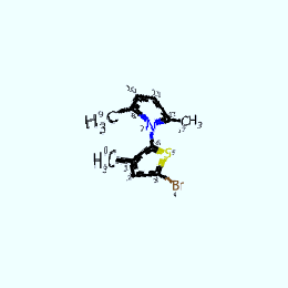 Cc1cc(Br)sc1-n1c(C)ccc1C